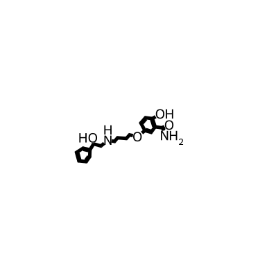 NC(=O)c1cc(OCCCCNCC(O)c2ccccc2)ccc1O